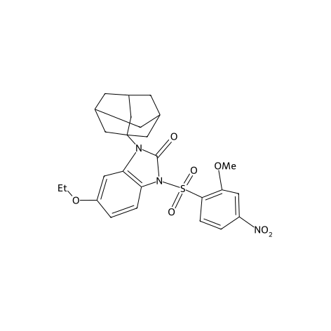 CCOc1ccc2c(c1)n(C13CC4CC(CC(C4)C1)C3)c(=O)n2S(=O)(=O)c1ccc([N+](=O)[O-])cc1OC